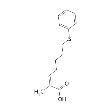 CC(=CCCCCSc1ccccc1)C(=O)O